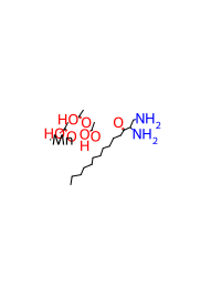 CC(=O)O.CC(=O)O.CC(=O)O.CCCCCCCCCCCC(=O)C(N)CN.[Mn]